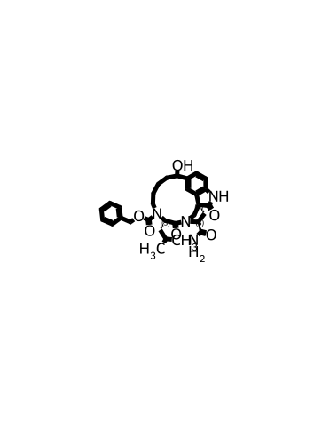 CC(C)C[C@H]1C(=O)N2C[C@]3(C[C@H]2C(N)=O)C(=O)Nc2ccc(cc23)C(O)CCCCN1C(=O)OCc1ccccc1